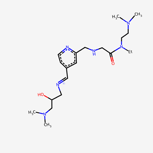 CCN(CCN(C)C)C(=O)CNCc1cc(/C=N/CC(O)CN(C)C)ccn1